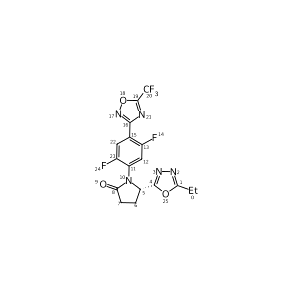 CCc1nnc([C@@H]2CCC(=O)N2c2cc(F)c(-c3noc(C(F)(F)F)n3)cc2F)o1